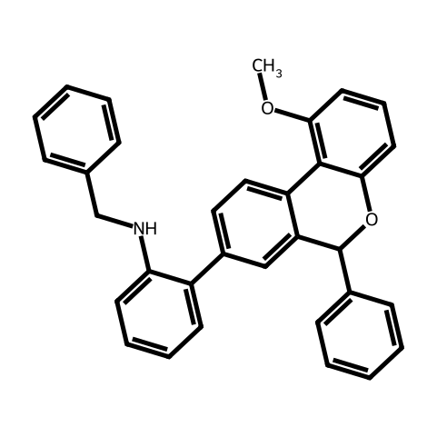 COc1cccc2c1-c1ccc(-c3ccccc3NCc3ccccc3)cc1C(c1ccccc1)O2